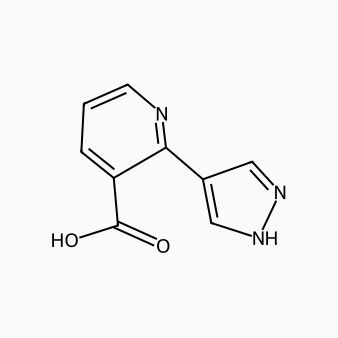 O=C(O)c1cccnc1-c1cn[nH]c1